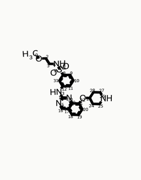 COCCNS(=O)(=O)c1cccc(Nc2ncc3cccc(OC4CCNCC4)c3n2)c1